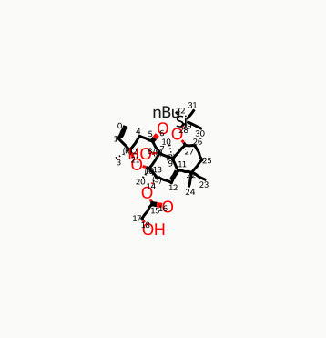 C=C[C@@]1(C)CC(=O)[C@]2(O)[C@]3(C)C(=C[C@H](OC(=O)CO)[C@@]2(C)O1)C(C)(C)CCC3O[Si](C)(C)CCCC